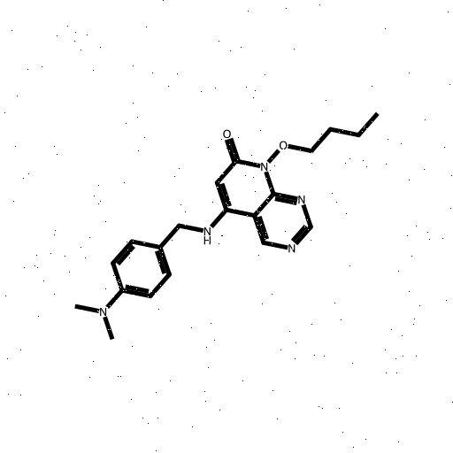 CCCCOn1c(=O)cc(NCc2ccc(N(C)C)cc2)c2cncnc21